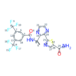 C[C@@H](NC(=O)c1cc(C(F)(F)F)cc(C(F)(F)F)c1)c1nccnc1-c1ncc(C(N)=O)s1